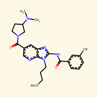 COCCCn1c(NC(=O)c2cccc(C#N)c2)nc2cc(C(=O)N3CCC(N(C)C)C3)cnc21